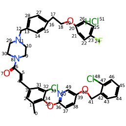 Cc1cc(/C=C/C(=O)N2CCN(Cc3ccc(CCOc4ccc(F)cc4)cc3)CC2)cc(Cl)c1Oc1ccc(OCc2ccccc2Cl)cn1.Cl